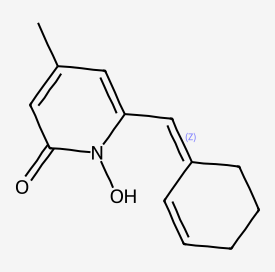 Cc1cc(/C=C2\C=CCCC2)n(O)c(=O)c1